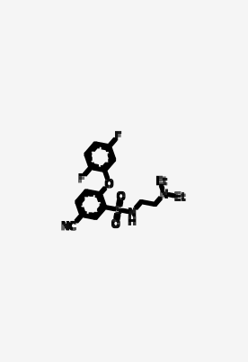 CCN(CC)CCNS(=O)(=O)c1cc(C#N)ccc1Oc1cc(F)ccc1F